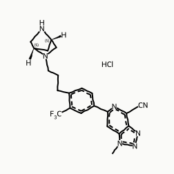 Cl.Cn1nnc2c(C#N)nc(-c3ccc(CCCN4C[C@@H]5C[C@H]4CN5)c(C(F)(F)F)c3)cc21